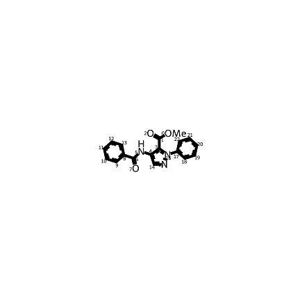 COC(=O)c1c(NC(=O)c2ccccc2)cnn1-c1ccccc1